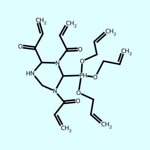 C=CCO[PH](OCC=C)(OCC=C)C1N(C(=O)C=C)CNC(C(=O)C=C)N1C(=O)C=C